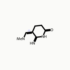 CN/C=C1/CCC(=O)NC1=N